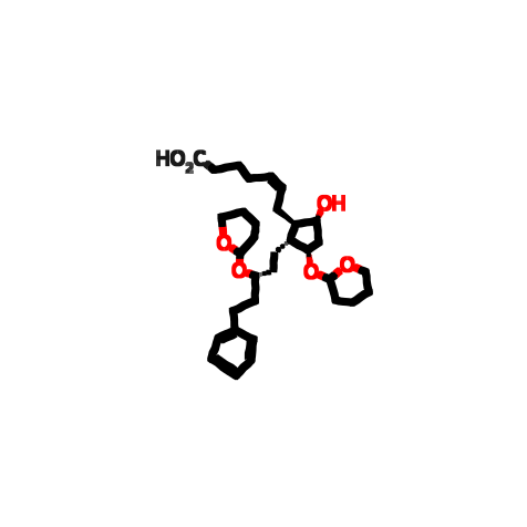 O=C(O)CCC/C=C\C[C@@H]1[C@@H](CC[C@H](CCc2ccccc2)OC2CCCCO2)[C@H](OC2CCCCO2)C[C@@H]1O